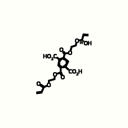 C=CC(=O)OCCOC(=O)c1cc(C(=O)O)c(C(=O)OCCO[C@@H](O)C=C)cc1C(=O)O